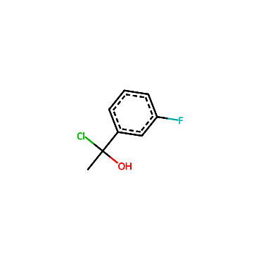 CC(O)(Cl)c1cccc(F)c1